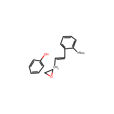 C1CO1.CC=Cc1ccccc1CCCCCCCCC.Oc1ccccc1